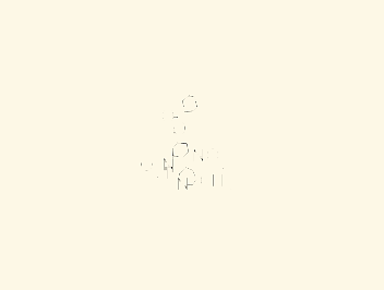 Cc1cnc(F)c(-c2c([N+](=O)[O-])cc(COC(=O)c3ccccc3)cc2[N+](=O)[O-])c1